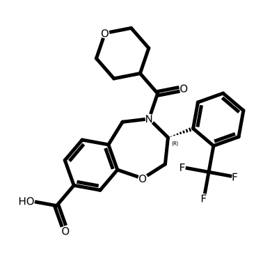 O=C(O)c1ccc2c(c1)OC[C@@H](c1ccccc1C(F)(F)F)N(C(=O)C1CCOCC1)C2